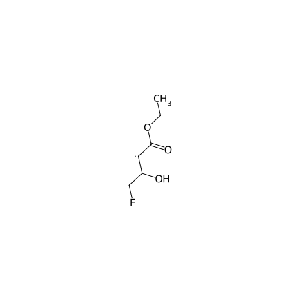 CCOC(=O)[CH]C(O)CF